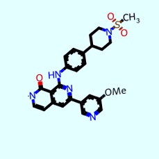 COc1cncc(-c2cc3c(c(Nc4ccc(C5CCN(S(C)(=O)=O)CC5)cc4)n2)C(=O)[N]C=C3)c1